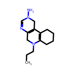 CCCN1CC2=C(CN(N)C=N2)C2=C1CCCC2